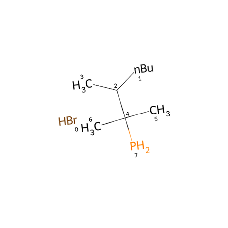 Br.CCCCC(C)C(C)(C)P